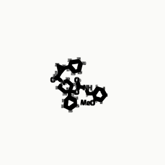 COc1ccccc1CNC(=O)OC1(c2ccccc2)CCN(C(=O)C2CC2c2ccccc2)CC1